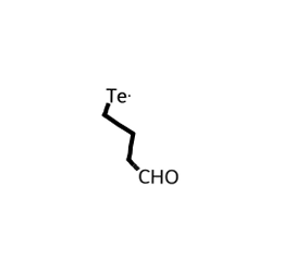 O=CCCC[Te]